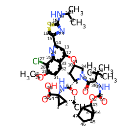 C=C[C@@H]1C[C@]1(NC(=O)[C@@H]1C[C@@H](Oc2cc(-c3csc(NC(C)C)n3)nc3c(Cl)c(OC)ccc23)CN1C(=O)[C@@H](NC(=O)OC1CC2CCC1C2)C(C)(C)C)C(=O)O